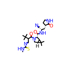 CNC(=S)/N=C/C(C(=O)N1C[C@H]2C([C@H]1C(=O)N[C@H](C#N)C[C@@H]1CCNC1=O)C2(C)C)C(C)(C)C